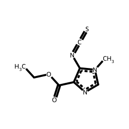 CCOC(=O)c1ncn(C)c1N=C=S